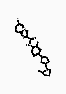 Cc1cc(N2CCC(N3CCCC3C)C2)ccc1NC(=O)c1cn2cc(Cl)ccc2n1